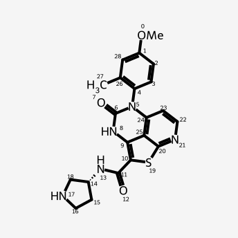 COc1ccc(N2C(=O)Nc3c(C(=O)N[C@@H]4CCNC4)sc4nccc2c34)c(C)c1